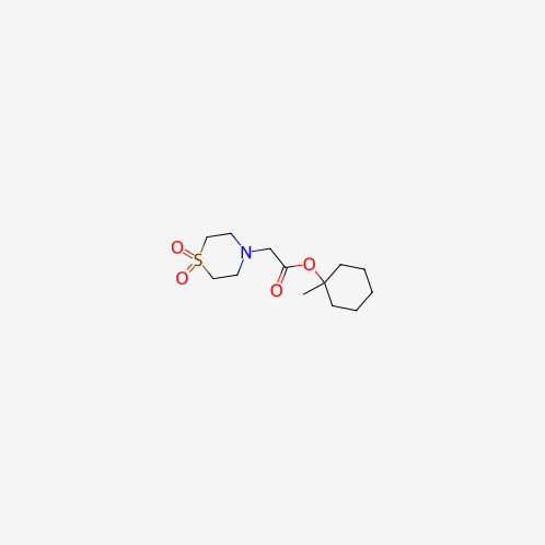 CC1(OC(=O)CN2CCS(=O)(=O)CC2)CCCCC1